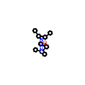 c1ccc(-c2ccc3c(c2)c2cc(-c4ccccc4)ccc2n3-c2cccc3c2oc2cccc(C4NC(c5ccccc5)Cc5ccccc54)c23)cc1